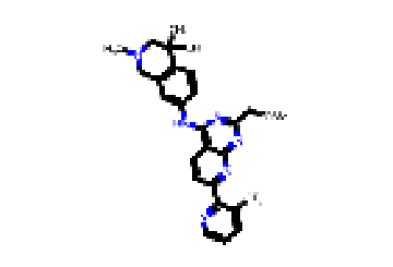 COCc1nc(Nc2ccc3c(c2)CN(C)CC3(C)C)c2ccc(-c3ncccc3C(F)(F)F)nc2n1